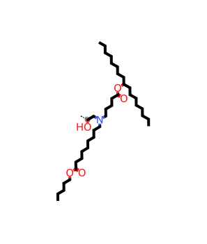 CCCCCCCCC(CCCCCCCC)OC(=O)CCCCN(CCCCCCCCC(=O)OCCCCC)C[C@@H](C)O